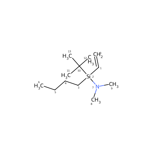 C=C[Si](CCCC)(N(C)C)C(C)(C)C